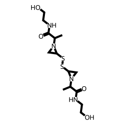 CC(C(=O)NCCO)N1CC1SSC1CN1C(C)C(=O)NCCO